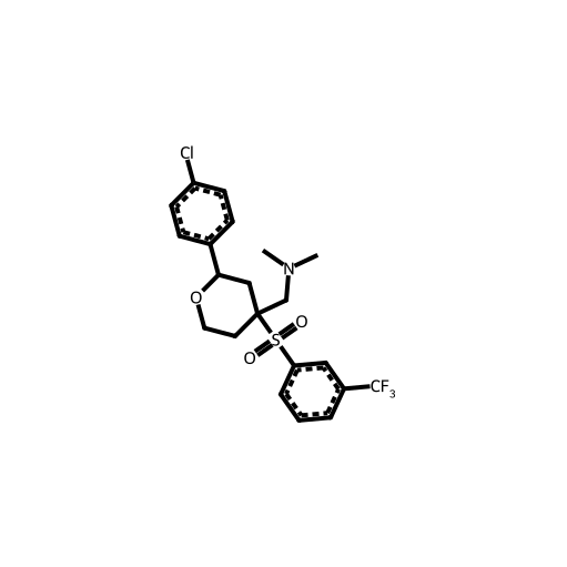 CN(C)CC1(S(=O)(=O)c2cccc(C(F)(F)F)c2)CCOC(c2ccc(Cl)cc2)C1